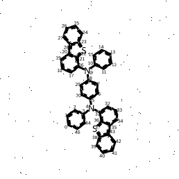 c1ccc(N(c2ccc(N(c3ccccc3)c3cccc4c3sc3ccccc34)cc2)c2cccc3c2sc2ccccc23)cc1